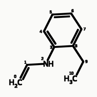 C=CNc1ccccc1CC